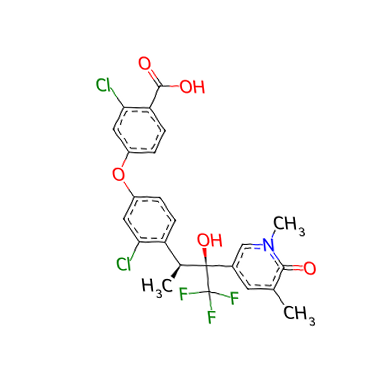 Cc1cc([C@@](O)([C@@H](C)c2ccc(Oc3ccc(C(=O)O)c(Cl)c3)cc2Cl)C(F)(F)F)cn(C)c1=O